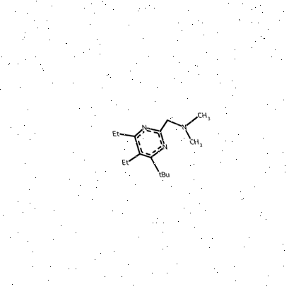 CCc1nc(CN(C)C)nc(C(C)(C)C)c1CC